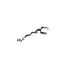 CCCCN/C=C(/CC)N=N